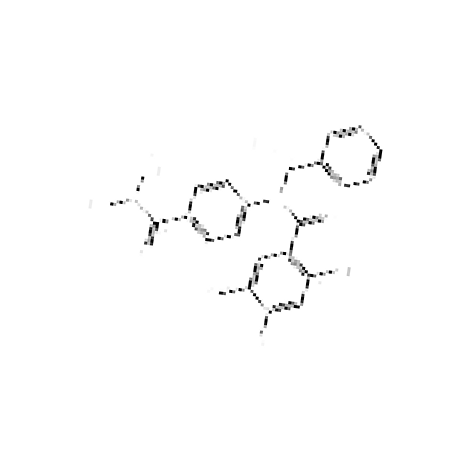 C[C@H](c1ccccc1)N(C(=O)c1cc(Cl)c(O)cc1O)c1ccc(C(=O)N(C)C)cc1